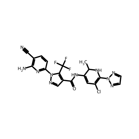 CC1NC(n2nccn2)=C(Cl)C=C1NC(=O)c1cnn(-c2ccc(C#N)c(N)n2)c1C(F)(F)F